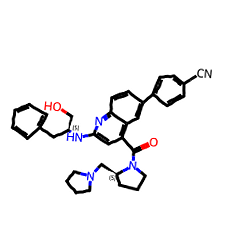 N#Cc1ccc(-c2ccc3nc(N[C@H](CO)Cc4ccccc4)cc(C(=O)N4CCC[C@H]4CN4CCCC4)c3c2)cc1